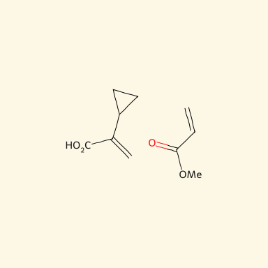 C=C(C(=O)O)C1CC1.C=CC(=O)OC